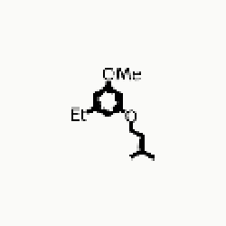 CCc1cc(OC)cc(OCC=C(C)C)c1